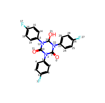 O=C1N(c2ccc(F)cc2)C(=O)N(c2ccc(F)cc2)C(O)N1c1ccc(F)cc1